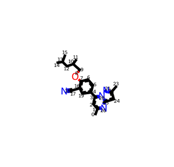 Cc1cc(-c2ccc(OCC(C)CC(C)C)c(C#N)c2)n2nc(C)cc2n1